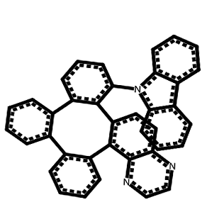 c1ccc2c(c1)-c1ccccc1-c1c(ccc3nccnc13)-c1c-2cccc1-n1c2ccccc2c2ccccc21